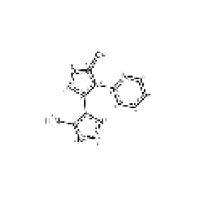 Nc1nonc1-c1noc(=O)n1-c1ccccn1